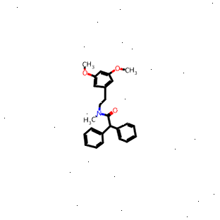 COc1cc(CCN(C)C(=O)C(c2ccccc2)c2ccccc2)cc(OC)c1